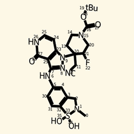 CN1Cc2cc(Nc3nn(C4(CC#N)CCN(C(=O)OC(C)(C)C)CC4F)c4cc[nH]c(=O)c34)ccc2S1(O)O